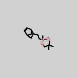 CC1(C)CO[Si](C)(CCC2CC3C=CC2C3)OC1